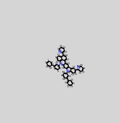 c1ccc(-c2cccc(N3c4cc5c(cc4-c4ccc(-c6ccccn6)c6cccc3c46)c3cc(-c4ccccn4)ccc3n5-c3cccc(-c4ccccc4)c3)c2)cc1